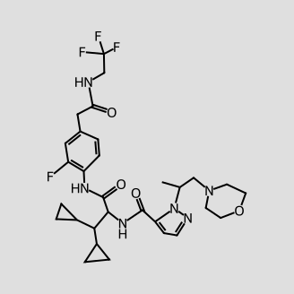 CC(CN1CCOCC1)n1nccc1C(=O)NC(C(=O)Nc1ccc(CC(=O)NCC(F)(F)F)cc1F)C(C1CC1)C1CC1